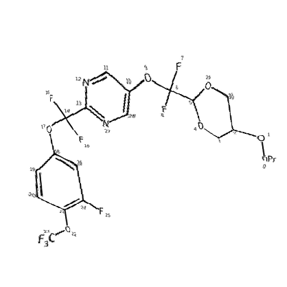 CCCOC1COC(C(F)(F)Oc2cnc(C(F)(F)Oc3ccc(OC(F)(F)F)c(F)c3)nc2)OC1